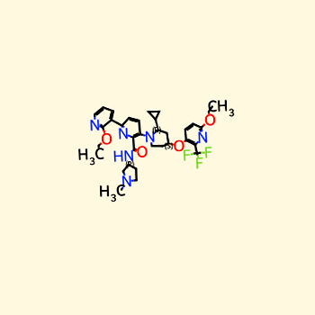 CCOc1ccc(O[C@H]2CCN(c3ccc(-c4cccnc4OCC)nc3C(=O)N[C@@H]3CCN(C)C3)[C@@H](C3CC3)C2)c(C(F)(F)F)n1